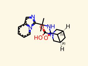 CC(C)(NC(=O)C1[C@@H]2C[C@H]1CN(C(=O)O)C2)c1ncc2ccccn12